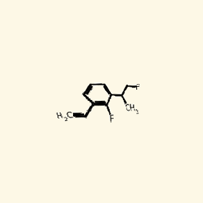 C=Cc1cccc([C](C)CF)c1F